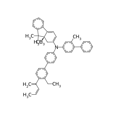 C=C(/C=C\C)c1ccc(-c2ccc(N(C3=CC=C4c5ccccc5C(C)(C)[C@@]4(C)C3)c3ccc(-c4ccccc4)c(C)c3)cc2)cc1CC